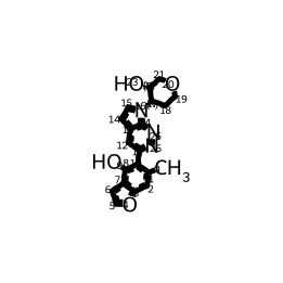 Cc1cc2occc2c(O)c1-c1cc2ccn([C@@H]3CCOC[C@H]3O)c2nn1